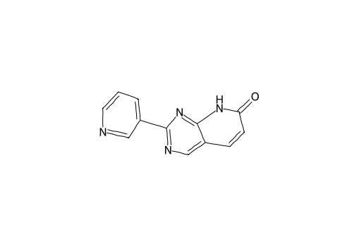 O=c1ccc2cnc(-c3cccnc3)nc2[nH]1